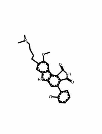 COc1cc2c(cc1CCCCN(C)C)[nH]c1cc(-c3ccccc3Cl)c3c(c12)C(=O)NC3=O